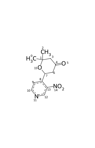 CC1(C)CC(=O)CC(c2ccncc2[N+](=O)[O-])O1